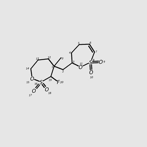 CC1(CC2CCC=CS(=O)(=O)O2)CCCOS(=O)(=O)C1F